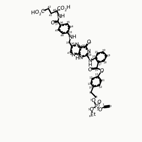 C#COP(=O)(OCC)OCCc1ccc(OC(=O)c2ccccc2Nc2nc(=O)c3nc(CNc4ccc(C(=O)N[C@@H](CCC(=O)O)C(=O)O)cc4)cnc3[nH]2)cc1